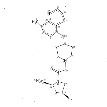 Cc1ccc(NC2CCN(CC(=O)N3C[C@@H](F)C[C@H]3C#N)CC2)c2cccnc12